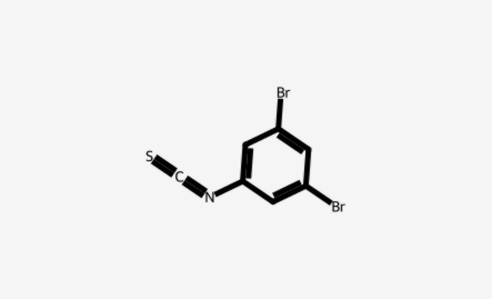 S=C=Nc1cc(Br)cc(Br)c1